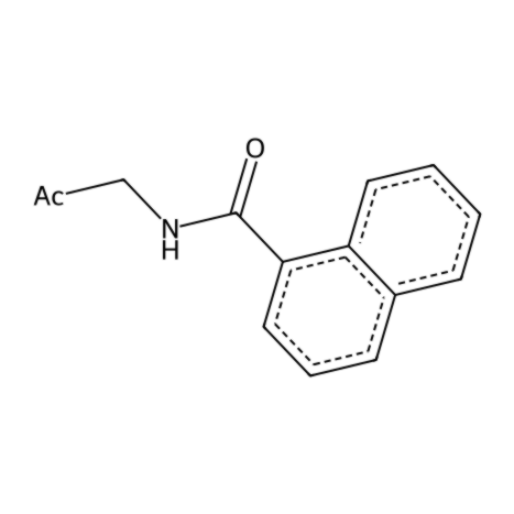 CC(=O)CNC(=O)c1cccc2ccccc12